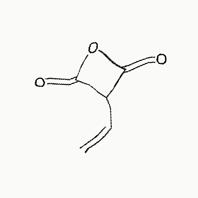 C=CC1C(=O)OC1=O